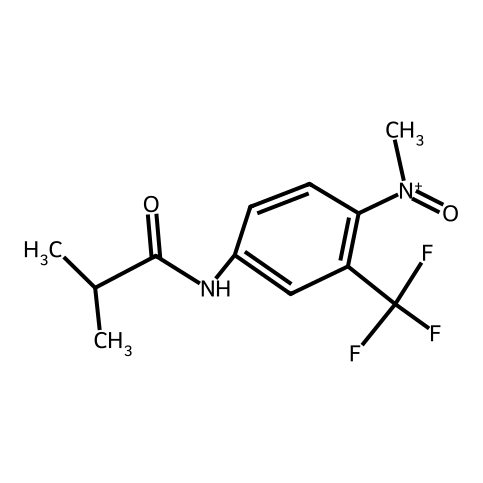 CC(C)C(=O)Nc1ccc([N+](C)=O)c(C(F)(F)F)c1